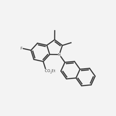 CCOC(=O)c1cc(F)cc2c(C)c(C)n(-c3ccc4ccccc4c3)c12